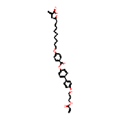 C=CC(=O)OCCCOc1ccc(-c2ccc(OC(=O)c3ccc(OCCCCCCCCCC4CC(=C)C(=O)O4)cc3)cc2)cc1